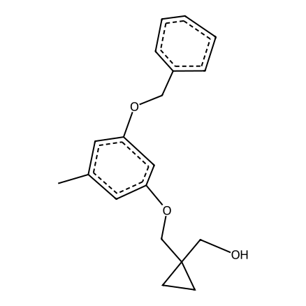 Cc1cc(OCc2ccccc2)cc(OCC2(CO)CC2)c1